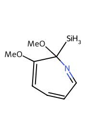 COC1=CC=CC=NC1([SiH3])OC